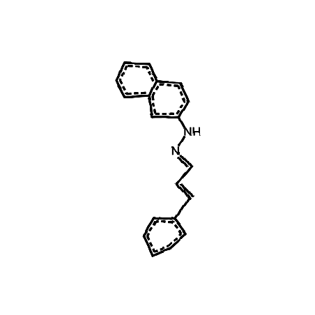 C(=Cc1ccccc1)C=NNc1ccc2ccccc2c1